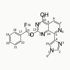 Cn1cnc(-c2nccc3c(O)nc(OC(F)c4ccccc4)nc23)c1